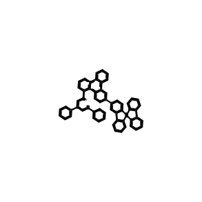 c1ccc(-c2cc(-c3ccccc3)nc(-c3cccc4c5ccccc5c5cc(-c6ccc7c(c6)-c6ccccc6C76c7ccccc7-c7ccccc76)ccc5c34)c2)cc1